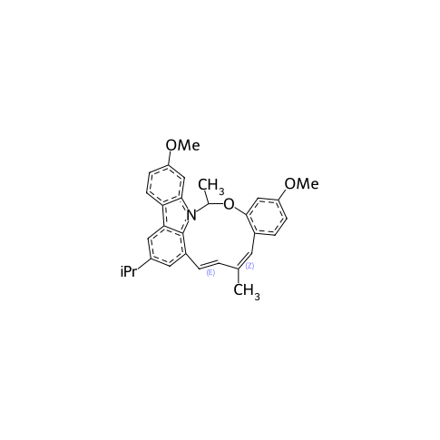 COc1ccc2c(c1)OC(C)n1c3cc(OC)ccc3c3cc(C(C)C)cc(c31)/C=C/C(C)=C\2